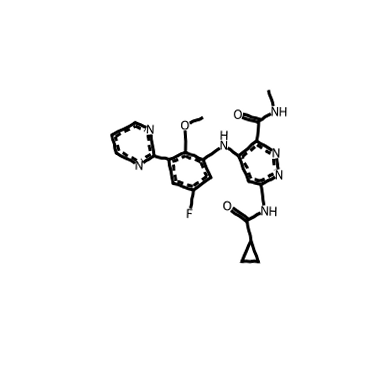 CNC(=O)c1nnc(NC(=O)C2CC2)cc1Nc1cc(F)cc(-c2ncccn2)c1OC